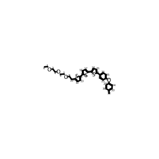 CCOCCOCCOCCc1ccc(-c2ccc(-c3ccc(-c4ccc(Oc5ccc(C)cc5)cc4)s3)s2)s1